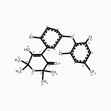 CCc1ccc(Oc2c(Cl)cc(C(F)(F)F)cc2Cl)cc1C1=C(O)C(C)(C)OC(C)(C)C1=O